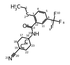 CCSc1ccc(C(F)(F)F)cc1C(=O)NC12CCC(C#N)(CC1)CC2